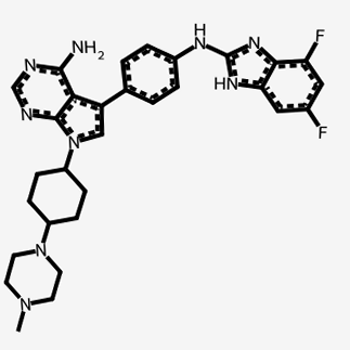 CN1CCN(C2CCC(n3cc(-c4ccc(Nc5nc6c(F)cc(F)cc6[nH]5)cc4)c4c(N)ncnc43)CC2)CC1